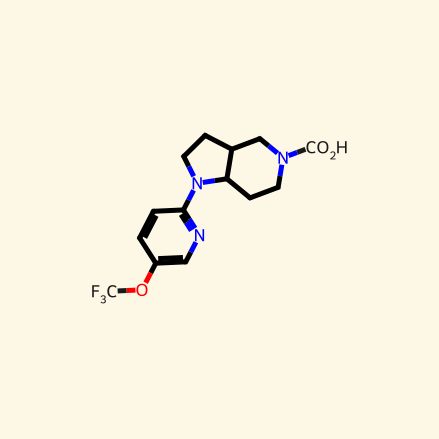 O=C(O)N1CCC2C(CCN2c2ccc(OC(F)(F)F)cn2)C1